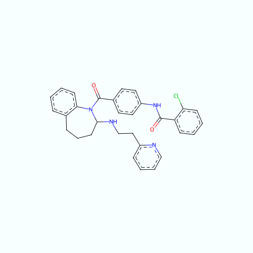 O=C(Nc1ccc(C(=O)N2c3ccccc3CCCC2NCCc2ccccn2)cc1)c1ccccc1Cl